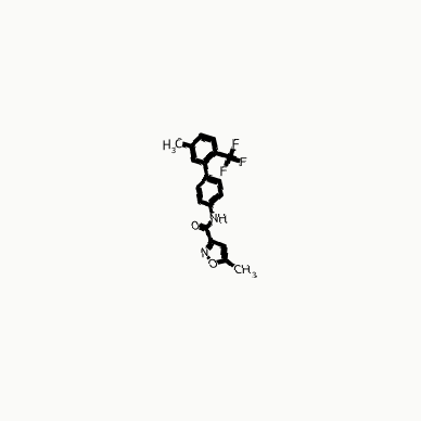 Cc1ccc(C(F)(F)F)c(-c2ccc(NC(=O)c3cc(C)on3)cc2)c1